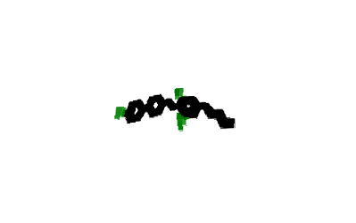 CCCCCc1cc(F)c(CCC2CCC(C3CC=C(F)CC3)CC2)c(F)c1